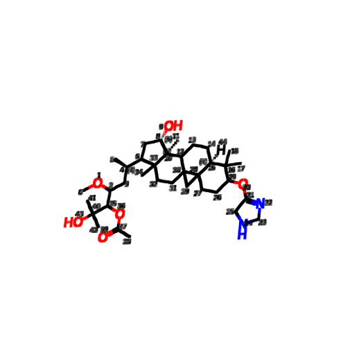 COC(C[C@@H](C)C1C[C@H](O)[C@@]2(C)C3CC[C@H]4C(C)(C)C(OC5=NCNC5)CCC45CC35CCC12C)C(OC(C)=O)C(C)(C)O